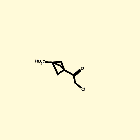 O=C(O)C12CC(C(=O)CCl)(C1)C2